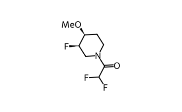 CO[C@H]1CCN(C(=O)C(F)F)C[C@H]1F